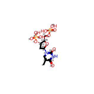 Cc1cn([C@H]2C[C@H](OP(=O)(O)O)[C@@H](COP(=O)(O)O)O2)c(=O)[nH]c1=O